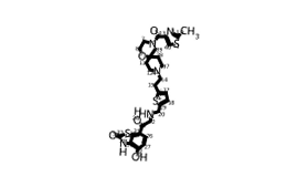 Cc1nc(C(=O)N2CCOC3(CCN(CCc4ccc(CNC[C@H](O)c5ccc(O)c6[nH]c(=O)sc56)s4)CC3)C2)cs1